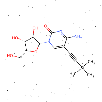 C[Si](C)(C)C#Cc1cn([C@@H]2O[C@H](CO)[C@H](O)C2O)c(=O)nc1N